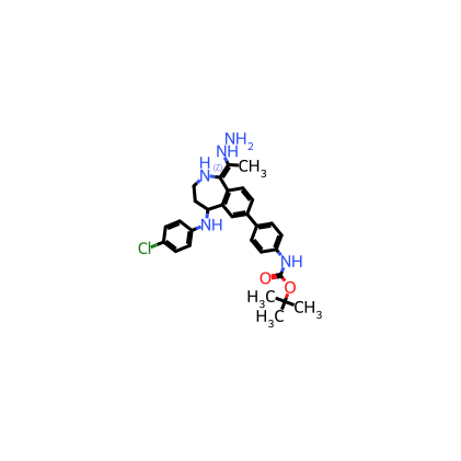 C/C(NN)=C1/NCCC(Nc2ccc(Cl)cc2)c2cc(-c3ccc(NC(=O)OC(C)(C)C)cc3)ccc21